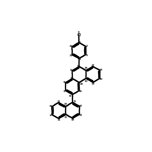 Clc1ccc(-c2cc3ccc(-c4cccc5ccccc45)cc3c3ccccc23)cc1